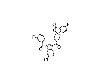 O=C1OC2(CCN(C(=O)c3cn(C(=O)c4cccc(F)c4)c4cc(Cl)ccc34)CC2)c2ccc(F)cc21